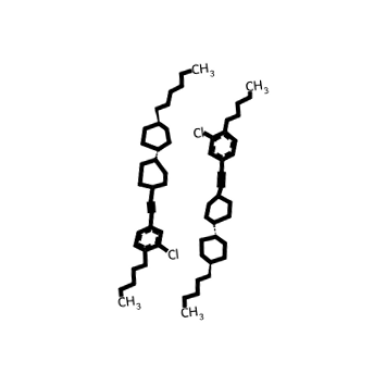 CCCCCC[C@H]1CC[C@H](C2CCC(C#Cc3ccc(CCCCC)c(Cl)c3)CC2)CC1.CCCCCc1ccc(C#CC2CCC([C@H]3CC[C@H](CCCCC)CC3)CC2)cc1Cl